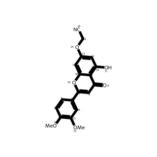 COc1ccc(-c2cc(=O)c3c(O)cc(OCC#N)cc3o2)cc1OC